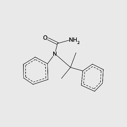 CC(C)(c1ccccc1)N(C(N)=O)c1ccccc1